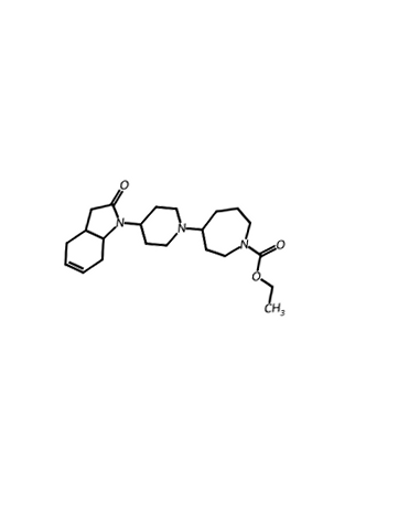 CCOC(=O)N1CCCC(N2CCC(N3C(=O)CC4CC=CCC43)CC2)CC1